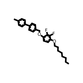 CCCCCCCCOc1ccc(OCc2ccc(-c3ccc(C)cc3)cc2)c(F)c1F